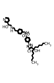 CCCCCCC(O)(CCCCCC)c1nn(-c2ccc(S(=O)(=O)Nc3ccc(CCNC[C@H](O)c4cccnc4)cc3)cc2)nc1C